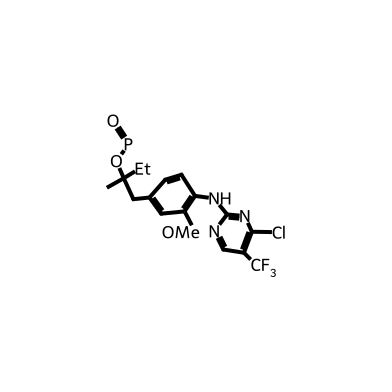 CCC(C)(Cc1ccc(Nc2ncc(C(F)(F)F)c(Cl)n2)c(OC)c1)OP=O